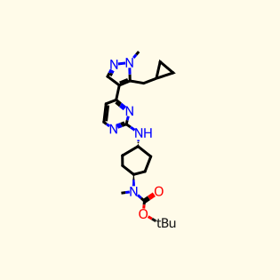 Cn1ncc(-c2ccnc(N[C@H]3CC[C@H](N(C)C(=O)OC(C)(C)C)CC3)n2)c1CC1CC1